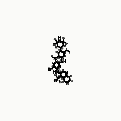 CCc1cc(Nc2ncc(Br)c(Nc3cnc4ccccc4c3P(C)(C)=O)n2)c(OC)cc1C1CC(C)(C)NC(C)(C)C1